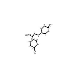 CCCC(CCN1CCC(=O)CC1)N1CCC(=O)CC1